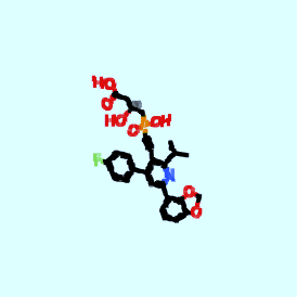 CC(C)c1nc(-c2cccc3c2OCO3)cc(-c2ccc(F)cc2)c1C#CP(=O)(O)C[C@@H](O)CC(=O)O